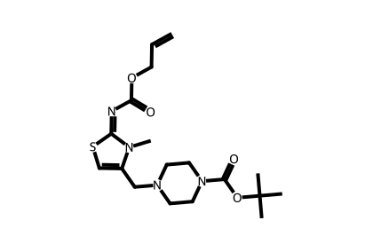 C=CCOC(=O)N=c1scc(CN2CCN(C(=O)OC(C)(C)C)CC2)n1C